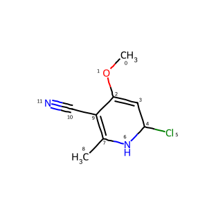 COC1=CC(Cl)NC(C)=C1C#N